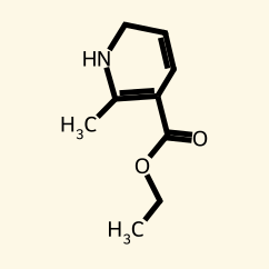 CCOC(=O)C1=C(C)NCC=C1